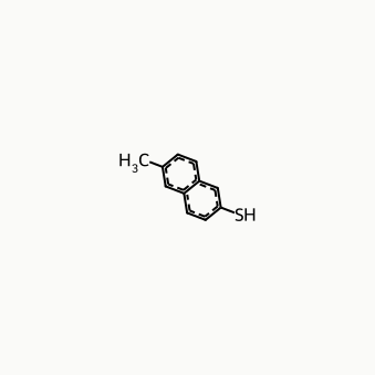 Cc1ccc2cc(S)ccc2c1